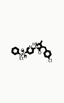 CCN(c1ccccc1)S(=O)(=O)c1ccc(-n2[nH]c(C)c(Cc3ccc(Cl)cc3)c2=O)nc1